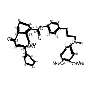 COc1ccc(N(C)CCCc2ccc(NC(=O)c3cccc4c(=O)cc(-c5ccccc5)[nH]c34)cc2)cc1OC